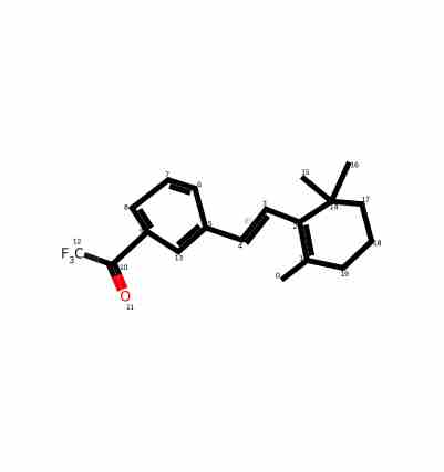 CC1=C(/C=C/c2cccc(C(=O)C(F)(F)F)c2)C(C)(C)CCC1